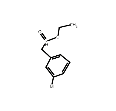 CCO[PH](=O)Cc1cccc(Br)c1